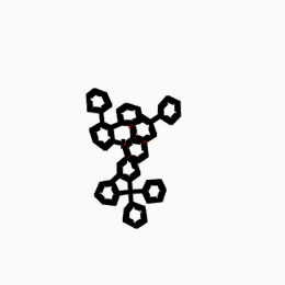 c1ccc(-c2ccc(N(c3ccc4c(c3)-c3ccccc3C4(c3ccccc3)c3ccccc3)c3cccc(-c4ccccc4)c3-c3ccccc3-c3ccccc3)cc2)cc1